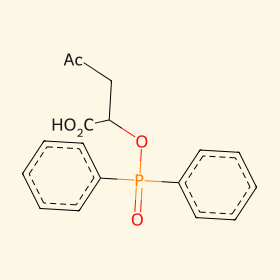 CC(=O)CC(OP(=O)(c1ccccc1)c1ccccc1)C(=O)O